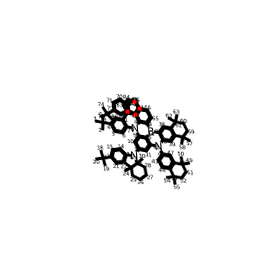 CC(C)(C)c1ccc(N2c3cc(N4c5ccc(C(C)(C)C)cc5C5(C)CCCCC45C)cc4c3B(c3cc5c(cc3N4c3ccc4c(c3)C(C)(C)CCC4(C)C)C(C)(C)CCC5(C)C)c3ccc4oc5ccc(C(C)(C)C)cc5c4c32)c(-c2ccccc2)c1